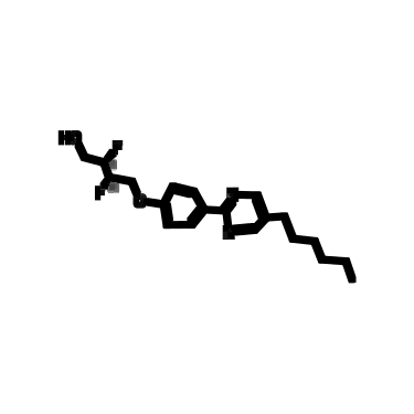 CCCCCCc1cnc(-c2ccc(OC[C@@H](F)[C@H](F)CO)cc2)nc1